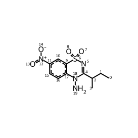 CCC(C)C1=NS(=O)(=O)c2cc([N+](=O)[O-])ccc2N1N